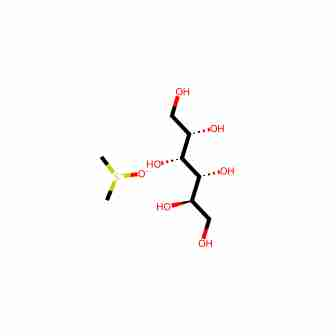 C[S+](C)[O-].OC[C@@H](O)[C@@H](O)[C@H](O)[C@@H](O)CO